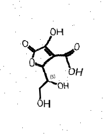 O=C(O)C1=C(O)C(=O)OC1[C@@H](O)CO